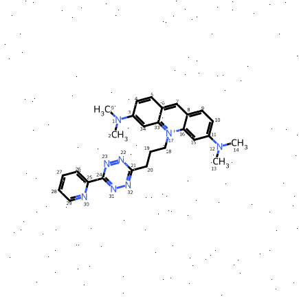 CN(C)c1ccc2cc3ccc(N(C)C)cc3[n+](CCCc3nnc(-c4ccccn4)nn3)c2c1